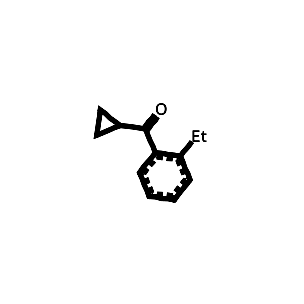 CCc1ccccc1C(=O)C1CC1